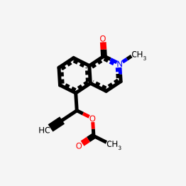 C#CC(OC(C)=O)c1cccc2c(=O)n(C)ccc12